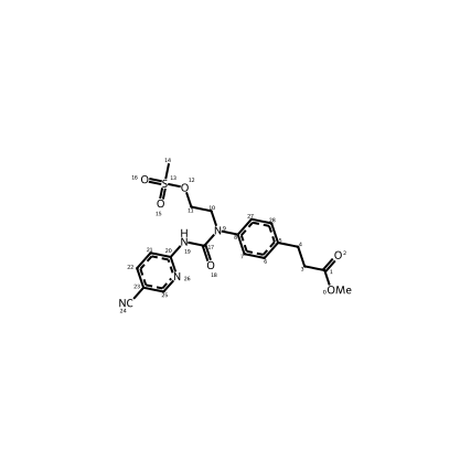 COC(=O)CCc1ccc(N(CCOS(C)(=O)=O)C(=O)Nc2ccc(C#N)cn2)cc1